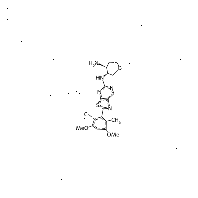 COc1cc(OC)c(Cl)c(-c2nc3cnc(N[C@@H]4COCC[C@@H]4N)nc3s2)c1C